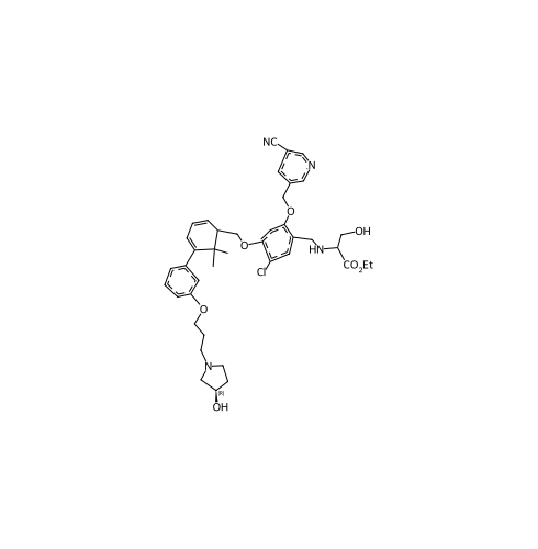 CCOC(=O)C(CO)NCc1cc(Cl)c(OCC2C=CC=C(c3cccc(OCCCN4CC[C@@H](O)C4)c3)C2(C)C)cc1OCc1cncc(C#N)c1